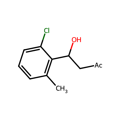 CC(=O)CC(O)c1c(C)cccc1Cl